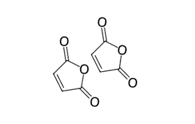 O=C1C=CC(=O)O1.O=C1C=CC(=O)O1